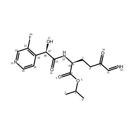 CC(C)OC(=O)[C@H](CCC(=O)C=N)NC(=O)[C@H](O)c1ccncc1F